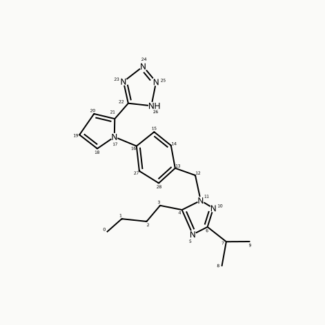 CCCCc1nc(C(C)C)nn1Cc1ccc(-n2cccc2-c2nnn[nH]2)cc1